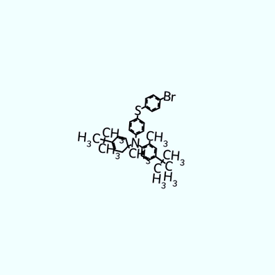 Cc1cc(C(C)(C)C)ccc1N(c1ccc(Sc2ccc(Br)cc2)cc1)C1(C)C=CC(C(C)(C)C)=CC1